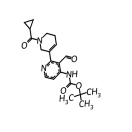 CC(C)(C)OC(=O)Nc1ccnc(C2=CCCN(C(=O)C3CC3)C2)c1C=O